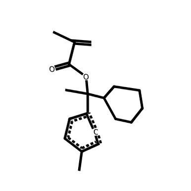 C=C(C)C(=O)OC(C)(c1ccc(C)cc1)C1CCCCC1